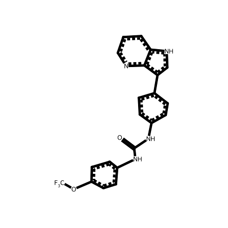 O=C(Nc1ccc(OC(F)(F)F)cc1)Nc1ccc(-c2c[nH]c3cccnc23)cc1